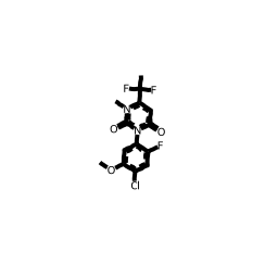 COc1cc(-n2c(=O)cc(C(C)(F)F)n(C)c2=O)c(F)cc1Cl